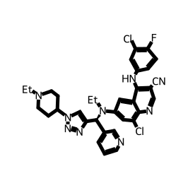 CCN1CCC(n2cc([C@H](c3cccnc3)N(CC)c3cc(Cl)c4ncc(C#N)c(Nc5ccc(F)c(Cl)c5)c4c3)nn2)CC1